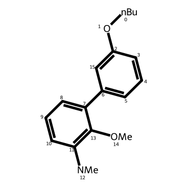 CCCCOc1cccc(-c2cccc(NC)c2OC)c1